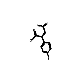 O=C(Cl)C(CC(F)F)c1ccc(F)cc1